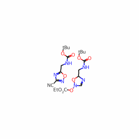 CC(C)(C)OC(=O)NCc1nc(C#N)no1.CCOC(=O)ON1C=NC(CNC(=O)OC(C)(C)C)O1